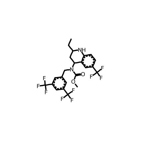 CCC1CC(N(Cc2cc(C(F)(F)F)cc(C(F)(F)F)c2)C(=O)OC)c2cc(C(F)(F)F)ccc2N1